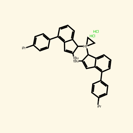 CC(C)c1ccc(-c2cccc3c2C=C(C(C)(C)C)[CH]3[Hf]2([CH]3C(C(C)(C)C)=Cc4c(-c5ccc(C(C)C)cc5)cccc43)[CH2][CH2]2)cc1.Cl.Cl